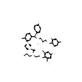 CCCN(CCOc1c(Cl)cc(Cl)cc1Cl)C(=O)n1ccnc1.OC(COc1ccc(F)cc1F)CSC(c1ccc(Cl)cc1)c1ccc(Cl)cc1